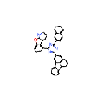 c1ccc2c(c1)-c1cccc3cc(-c4nc(-c5ccc6ccccc6c5)nc(-c5cccc6oc7ncccc7c56)n4)cc-2c13